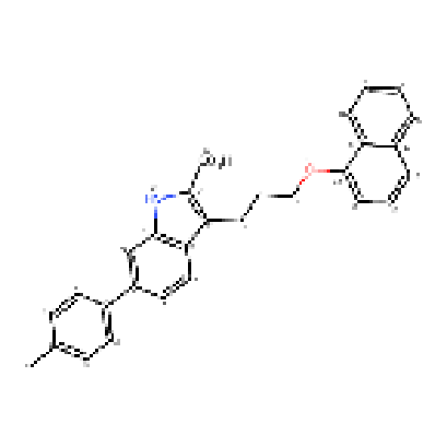 Cc1ccc(-c2ccc3c(CCCOc4cccc5ccccc45)c(C(=O)O)[nH]c3c2)cc1